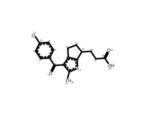 Cc1sc2c(c1C(=O)c1ccc(Cl)cc1)CCC2CCC(=O)O